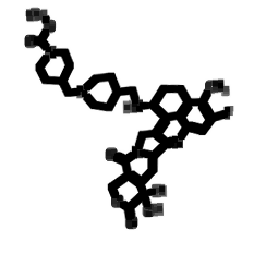 CC[C@@]1(O)C(=O)OCc2c1cc1n(c2=O)Cc2c-1nc1cc(F)c(C)c3c1c2[C@@H](NCC1CCN(CC2CCN(C(=O)OC(C)(C)C)CC2)CC1)CC3